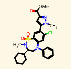 COC(=O)c1cc(-c2cc3c(cc2Cl)N(c2ccccc2)C[C@@H](C2CCCCC2)N(C)S3(=O)=O)n(C)n1